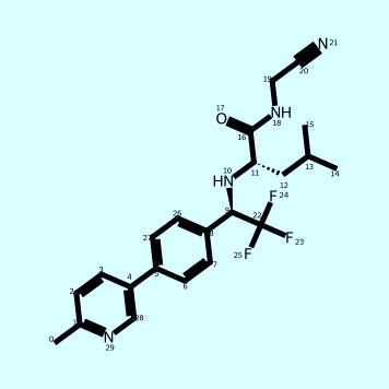 Cc1ccc(-c2ccc([C@@H](N[C@@H](CC(C)C)C(=O)NCC#N)C(F)(F)F)cc2)cn1